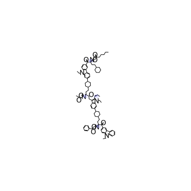 C/C=C\c1c(CC(=O)/C(CCC2CCC(c3ccc4c5cc(C(=O)/C(CCC6CCCCC6)=N/OC(=O)CCCCC)ccc5n(CC)c4c3)CC2)=N/OC(C)=O)c2ccc(C3CCC(CC/C(=N\OC(=O)c4ccccc4)C(=O)c4ccc5c(c4)c4ccccc4n5CC)CC3)cc2n1CC